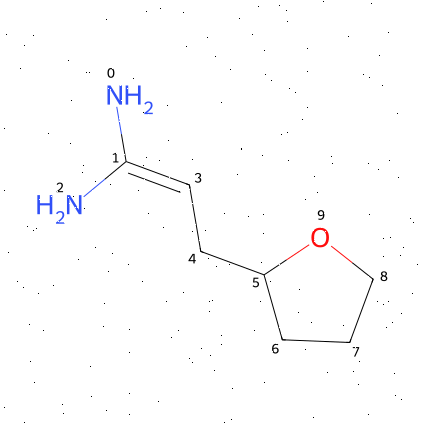 NC(N)=CCC1CCCO1